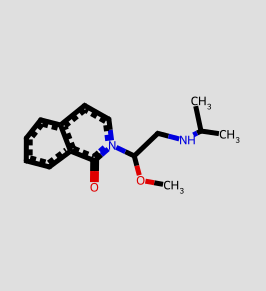 COC(CNC(C)C)n1ccc2ccccc2c1=O